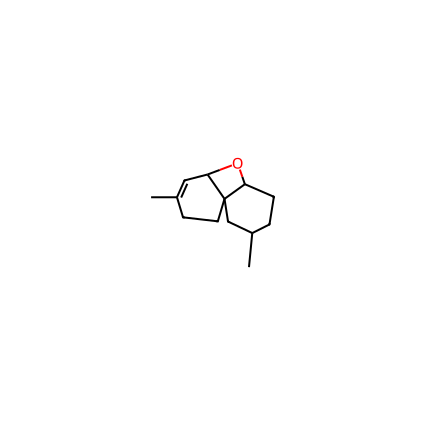 CC1=CC2OC3CCC(C)CC23CC1